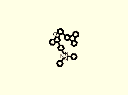 c1ccc(-c2nc(-c3ccccc3)nc(-c3ccc(-c4cc5c(oc6cccc(-c7ccc8c9ccccc9c9ccccc9c8c7)c65)c5ccccc45)cc3)n2)cc1